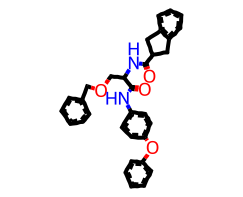 O=C(NC(COCc1ccccc1)C(=O)Nc1ccc(Oc2ccccc2)cc1)C1Cc2ccccc2C1